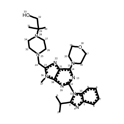 CC(C)c1nc2ccccc2n1-c1nc(N2CCOCC2)c2nc(CN3CCN(C(C)(C)CO)CC3)n(C)c2n1